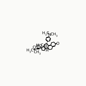 CN(C)c1ccc([C@H]2C[C@@]3(C)[C@@H](CC[C@@]3(O)C#CC(C)(C)C)[C@@H]3CCC4=CC(=O)CCC4=C32)cc1